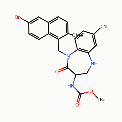 COc1ccc2cc(Br)ccc2c1CN1C(=O)C(NC(=O)OC(C)(C)C)CNc2cc(C#N)ccc21